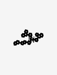 c1cc(-c2ccc3cc(-c4ccc5ccccc5c4)ccc3c2)cc(-c2nc(-c3cccc(-c4cc5ccccc5c5ccccc45)c3)nc(-c3cccc(-c4cc5ccccc5c5ccccc45)c3)n2)c1